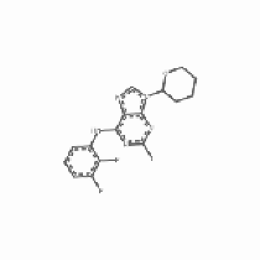 Fc1cccc(Nc2nc(I)nc3c2ncn3C2CCCCO2)c1F